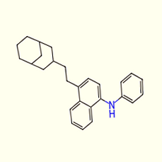 c1ccc(Nc2ccc(CCC3CC4CCCC(C4)C3)c3ccccc23)cc1